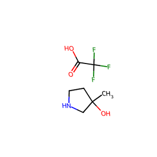 CC1(O)CCNC1.O=C(O)C(F)(F)F